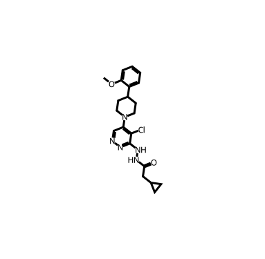 COc1ccccc1C1CCN(c2cnnc(NNC(=O)CC3CC3)c2Cl)CC1